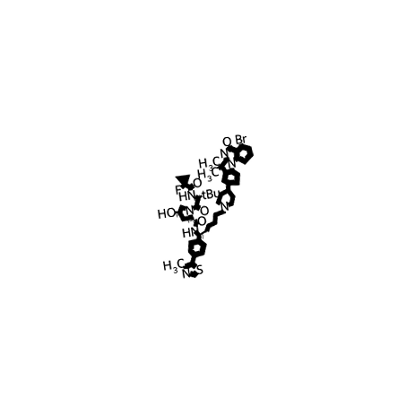 Cc1ncsc1-c1ccc([C@H](CCCCCN2CCC(c3ccc4c(c3)C(C)(C)c3nc(=O)c5c(Br)cccc5n3-4)CC2)NC(=O)[C@@H]2C[C@@H](O)CN2C(=O)[C@@H](NC(=O)C2(F)CC2)C(C)(C)C)cc1